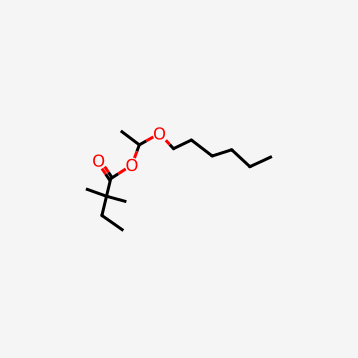 CCCCCCOC(C)OC(=O)C(C)(C)CC